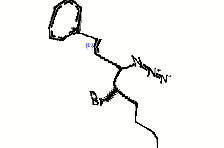 CCCCC(Br)C(/C=C/c1ccccc1)N=[N+]=[N-]